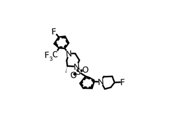 C[C@@H]1CN(c2ccc(F)cc2C(F)(F)F)CCN1S(=O)(=O)c1cccc(N2CCC(F)CC2)c1